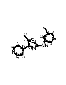 Cc1cccc(Nc2nc(-c3ccncc3)c(C)s2)c1